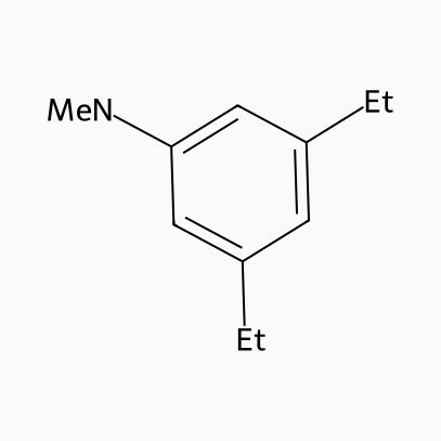 CCc1cc(CC)cc(NC)c1